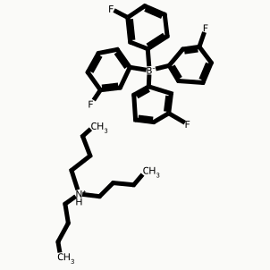 CCCC[NH+](CCCC)CCCC.Fc1cccc([B-](c2cccc(F)c2)(c2cccc(F)c2)c2cccc(F)c2)c1